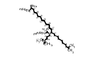 C=C(C)CCCCCCCCC(CCCCCCCCCCCC(CCCCCC)CCCCCC)N(CCCN(C)C)C(=C)CCCCCCC